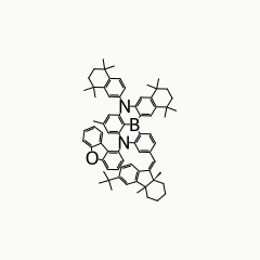 Cc1cc2c3c(c1)N(c1cccc4oc5ccccc5c14)c1cc(/C=C4\c5ccc(C(C)(C)C)cc5C5(C)CCCC[C@@]45C)ccc1B3c1cc3c(cc1N2c1ccc2c(c1)C(C)(C)CCC2(C)C)C(C)(C)CCC3(C)C